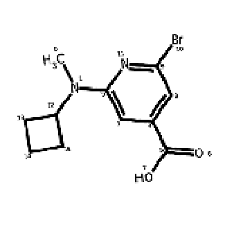 CN(c1cc(C(=O)O)cc(Br)n1)C1CCC1